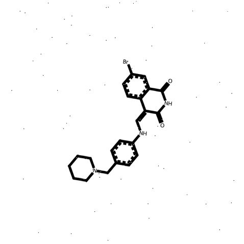 O=C1NC(=O)c2cc(Br)ccc2C1=CNc1ccc(CN2CCCCC2)cc1